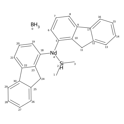 B.C[SiH](C)[Nd]([c]1cccc2c1Cc1ccccc1-2)[c]1cccc2c1Cc1ccccc1-2